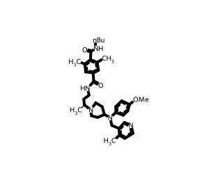 CCCCNC(=O)c1c(C)cc(C(=O)NCC[C@@H](C)N2CCC(N(Cc3cnccc3C)c3ccc(OC)cc3)CC2)cc1C